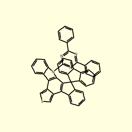 c1ccc(-c2nc(-c3ccccc3)nc(-n3c4ccccc4c4c5cscc5c5c(c43)C3(c4ccccc4-c4ccccc43)c3ccccc3-5)n2)cc1